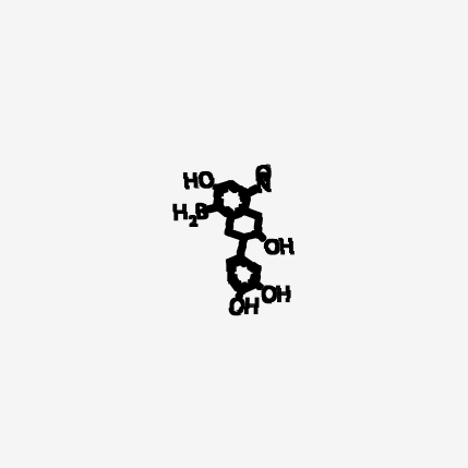 Bc1c(O)cc(N=O)c2c1CC(c1ccc(O)c(O)c1)C(O)C2